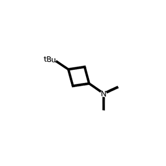 CN(C)C1CC(C(C)(C)C)C1